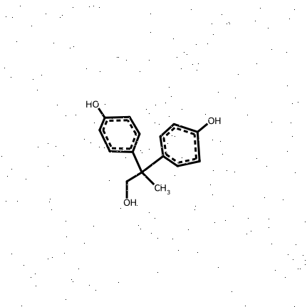 CC(CO)(c1ccc(O)cc1)c1ccc(O)cc1